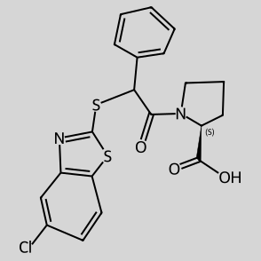 O=C(O)[C@@H]1CCCN1C(=O)C(Sc1nc2cc(Cl)ccc2s1)c1ccccc1